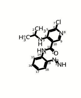 CC(C)Nc1cc(Cl)ncc1C(=O)Nc1ccccc1N=N